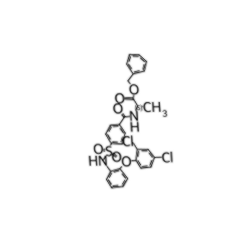 C[C@H](NC(=O)c1ccc(S(=O)(=O)Nc2ccccc2Oc2ccc(Cl)cc2Cl)cc1)C(=O)OCc1ccccc1